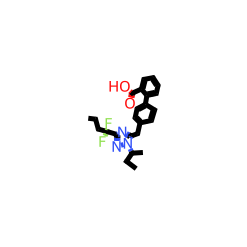 CCCC(F)(F)c1nc(Cc2ccc(-c3ccccc3C(=O)O)cc2)n(C(C)CC)n1